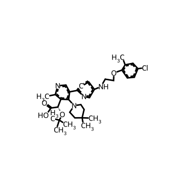 Cc1cc(Cl)ccc1OCCNc1ccc(-c2cnc(C)c([C@H](OC(C)(C)C)C(=O)O)c2N2CCC(C)(C)CC2)nc1